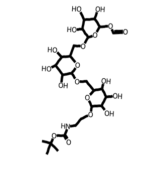 CC(C)(C)OC(=O)NCCOC1OC(COC2OC(COC3OC(OC=O)C(O)C(O)C3O)C(O)C(O)C2O)C(O)C(O)C1O